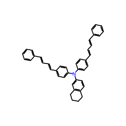 C(/C=C/c1ccc(N(c2ccc(/C=C/C=C/c3ccccc3)cc2)c2ccc3c(c2)CCCC3)cc1)=C\c1ccccc1